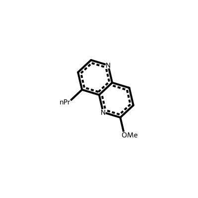 CCCc1ccnc2ccc(OC)nc12